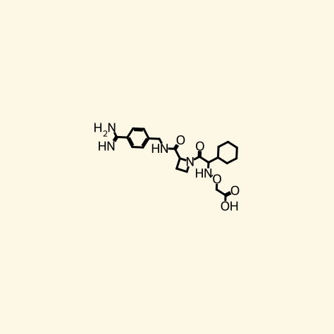 N=C(N)c1ccc(CNC(=O)C2CCN2C(=O)C(NOCC(=O)O)C2CCCCC2)cc1